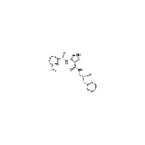 Cc1cccc(C(=O)Nc2c[nH]nc2C(=O)NCC(O)Cc2ccccc2)n1